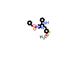 COc1ccc(Cc2nc3c(c4c2[nH]c2ccccc24)CN(C(=O)OCc2ccccc2)C3)cc1F